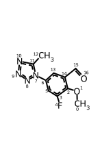 COc1c(F)cc(-n2nnnc2C)cc1C=O